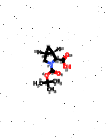 CC(C)(C)OC(=O)N1C[C@@H]2C[C@H]2[C@H]1C(=O)O